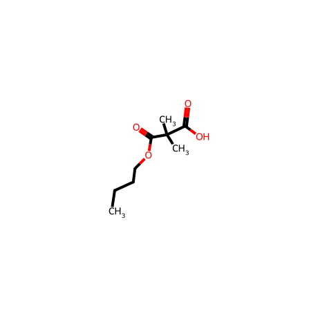 CCCCOC(=O)C(C)(C)C(=O)O